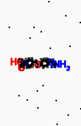 NN=Nc1ccc(OCC2CCN(C(=O)O)CC2)cc1